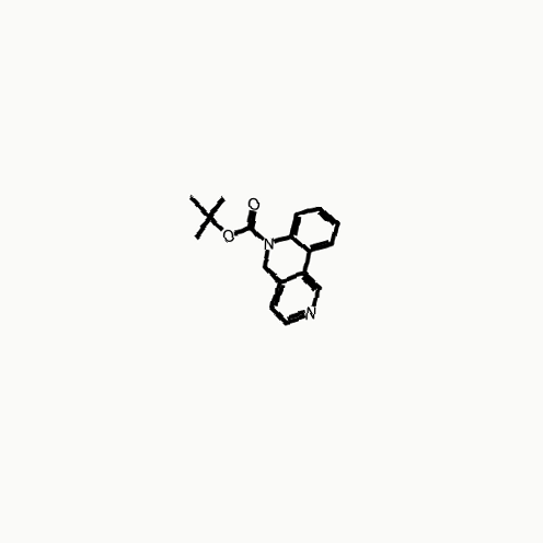 CC(C)(C)OC(=O)N1Cc2ccncc2-c2ccccc21